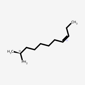 CC/C=C\CCCCC[C@H](C)P